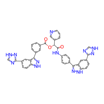 O=C(OC(C(=O)Nc1ccc(-c2n[nH]c3ccc(-c4nc[nH]n4)cc23)cc1)c1cccnc1)c1cccc(-c2n[nH]c3ccc(-c4nc[nH]n4)cc23)c1